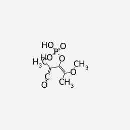 COC(C)=C(OP(=O)(O)O)C(C)=C=O